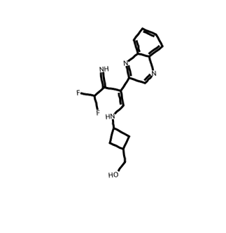 N=C(/C(=C\NC1CC(CO)C1)c1cnc2ccccc2n1)C(F)F